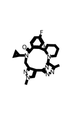 Cc1nnc2nc1N1CCCC[C@@H]1c1cc(F)ccc1C(=O)N(C1CC1)Cc1nn(C)cc1-2